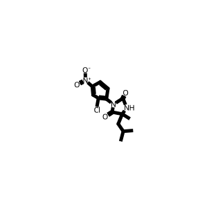 CC(C)CC1(C)NC(=O)N(c2ccc([N+](=O)[O-])cc2Cl)C1=O